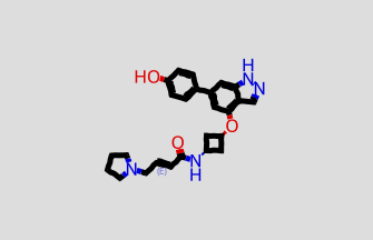 O=C(/C=C/CN1CCCC1)N[C@H]1C[C@H](Oc2cc(-c3ccc(O)cc3)cc3[nH]ncc23)C1